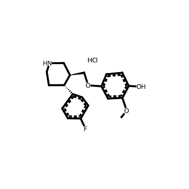 COc1cc(OC[C@@H]2CNCC[C@H]2c2ccc(F)cc2)ccc1O.Cl